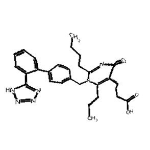 CCCCc1nc(=O)c(CCC(=O)O)c(CCC)n1Cc1ccc(-c2ccccc2-c2nnn[nH]2)cc1